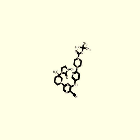 CN1CCN([C@@]2(C)CCCN(c3cnc(C#N)c(Nc4ccc(N5CCN(C(=O)OC(C)(C)C)CC5)nc4)n3)C2)C1=O